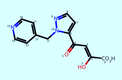 O=C(O)C(O)=CC(=O)c1ccnn1Cc1ccncc1